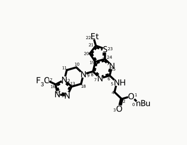 CCCCOC(=O)CNc1nc(N2CCn3c(nnc3C(F)(F)F)C2)c2cc(CC)sc2n1